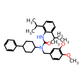 COc1ccc(CN(C(=O)Nc2c(C(C)C)cccc2C(C)C)C2CCC(c3ccccc3)CC2)cc1OC